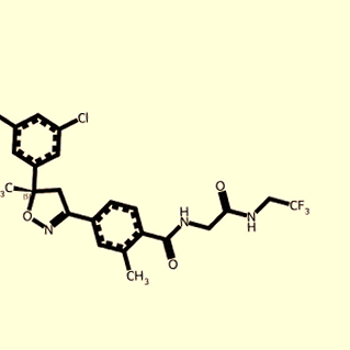 Cc1cc(C2=NO[C@](C)(c3cc(Cl)cc(Cl)c3)C2)ccc1C(=O)NCC(=O)NCC(F)(F)F